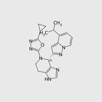 CC(C)c1cccn2nc([C@@H]3c4nc[nH]c4CCN3c3nnc(C4CC4)o3)cc12